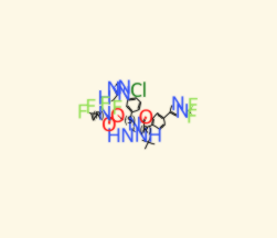 CC(C)(C)C[C@]1(c2ccc(-c3cnn(C(F)F)c3)cc2)NC(=N)N([C@H](COC(=O)N[C@@H]2CC2(F)F)c2ccc(Cl)c(-n3ncnc3C(F)F)c2)C1=O